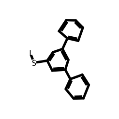 ISc1cc(-c2ccccc2)cc(-c2ccccc2)c1